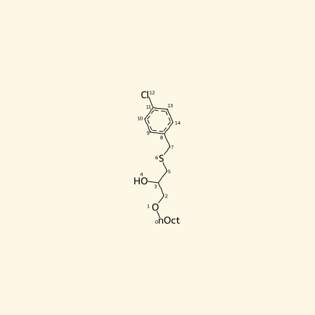 CCCCCCCCOCC(O)CSCc1ccc(Cl)cc1